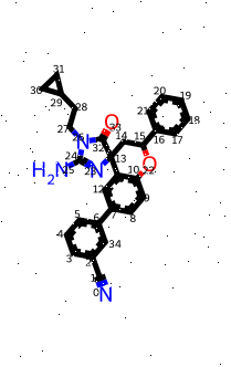 N#Cc1cccc(-c2ccc3c(c2)C2(CC(c4ccccc4)O3)N=C(N)N(CCC3CC3)C2=O)c1